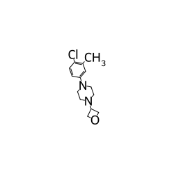 Cc1cc(N2CCN(C3COC3)CC2)ccc1Cl